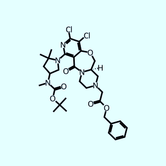 CN(C(=O)OC(C)(C)C)C1CN(c2nc(Cl)c(Cl)c3c2C(=O)N2CCN(CC(=O)OCc4ccccc4)C[C@@H]2CO3)C(C)(C)C1